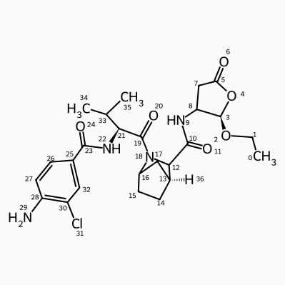 CCO[C@@H]1OC(=O)CC1NC(=O)C1[C@H]2CCC(C2)N1C(=O)[C@@H](NC(=O)c1ccc(N)c(Cl)c1)C(C)C